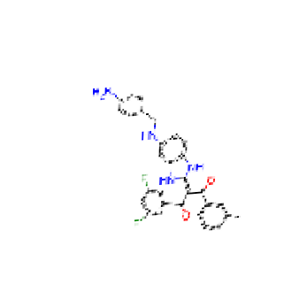 Cc1cccc(C(=O)/C(C(=O)c2cc(F)cc(F)c2)=C2\Nc3ccc(NCc4ccc(N)cc4)cc3N2)c1